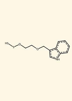 SSOCCOCc1c[nH]c2ccccc12